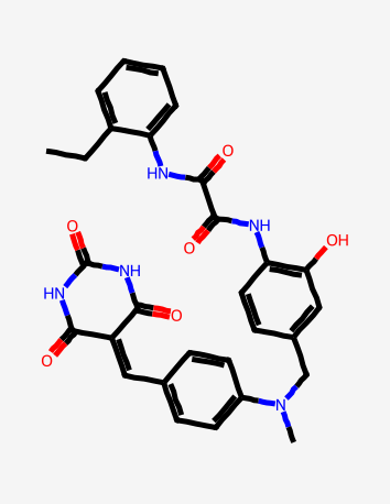 CCc1ccccc1NC(=O)C(=O)Nc1ccc(CN(C)c2ccc(C=C3C(=O)NC(=O)NC3=O)cc2)cc1O